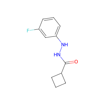 O=C(NNc1cccc(F)c1)C1CCC1